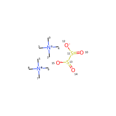 C[N+](C)(C)C.C[N+](C)(C)C.O=S([O-])S(=O)[O-]